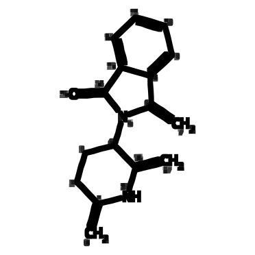 C=C1CCC(N2C(=C)c3ccccc3C2=O)C(=C)N1